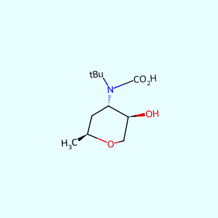 C[C@H]1C[C@H](N(C(=O)O)C(C)(C)C)[C@@H](O)CO1